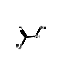 CCC(C)NC(=O)C(F)(F)F